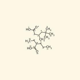 CC(CC(=O)O)CC(C)(C)C.CCCC(CC)C(=O)O